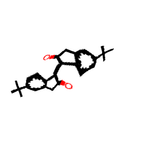 CC(C)(C)c1ccc2c(c1)CC(=O)/C2=C1/C(=O)Cc2cc(C(C)(C)C)ccc21